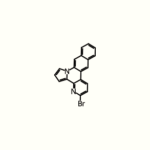 Brc1ccc2c3cc4ccccc4cc3n3cccc3c2n1